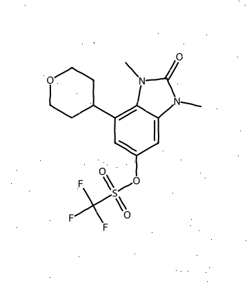 Cn1c(=O)n(C)c2c(C3CCOCC3)cc(OS(=O)(=O)C(F)(F)F)cc21